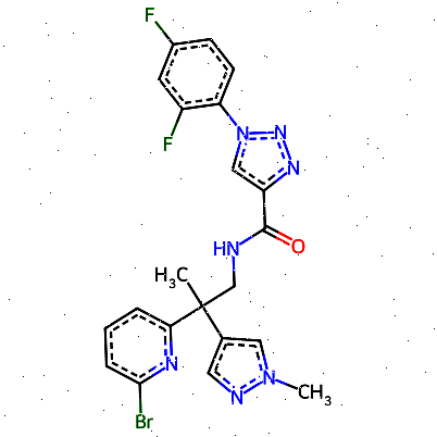 Cn1cc(C(C)(CNC(=O)c2cn(-c3ccc(F)cc3F)nn2)c2cccc(Br)n2)cn1